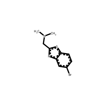 CN(C)Cc1nc2cc(Br)ccc2s1